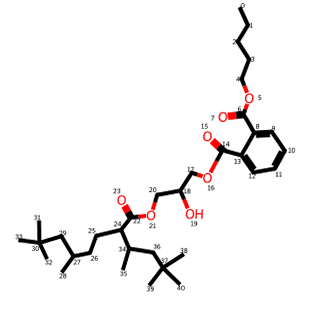 CCCCCOC(=O)c1ccccc1C(=O)OCC(O)COC(=O)C(CCC(C)CC(C)(C)C)C(C)CC(C)(C)C